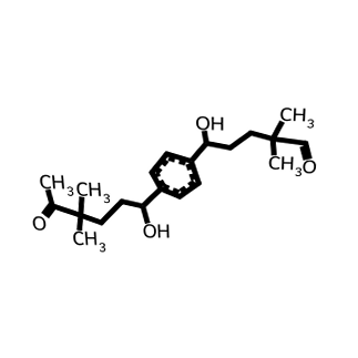 CC(=O)C(C)(C)CCC(O)c1ccc(C(O)CCC(C)(C)C=O)cc1